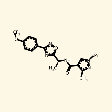 Cc1nn(C(C)C)cc1C(=O)N[C@@H](C)c1nc(-c2ccc(OC(F)(F)F)cc2)no1